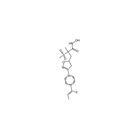 CC=C(F)c1ccc(C2=NOC(CC(C)(C(=O)NO)S(C)(=O)=O)C2)cc1